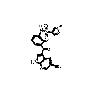 Cn1cc(S(=O)(=O)Nc2cccc(C(=O)c3c[nH]c4ncc(C#N)cc34)c2F)cn1